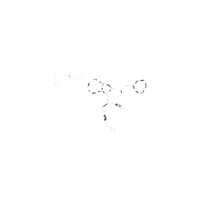 CC#CC=C(C#N)n1c(C(=O)N(C)c2ccccc2)cc2cc([C@H]3CCOC(C)(C)C3)ccc21